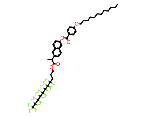 CCCCCCCCCCCCOc1ccc(C(=O)Oc2ccc3cc(C(C)C(=O)OCCCC(F)(F)C(F)(F)C(F)(F)C(F)(F)C(F)(F)C(F)(F)C(F)(F)C(F)(F)F)ccc3c2)cc1